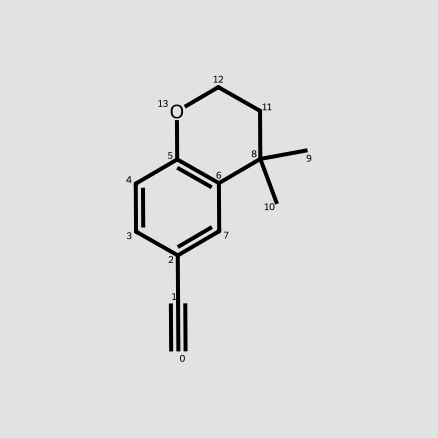 C#Cc1ccc2c(c1)C(C)(C)CCO2